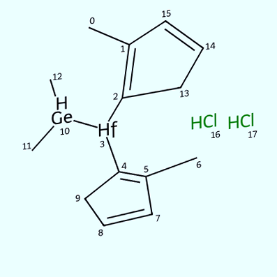 CC1=[C]([Hf]([C]2=C(C)C=CC2)[GeH]([CH3])[CH3])CC=C1.Cl.Cl